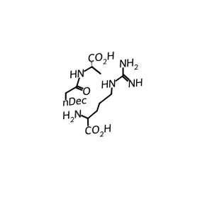 CCCCCCCCCCCC(=O)N[C@@H](C)C(=O)O.N=C(N)NCCCC(N)C(=O)O